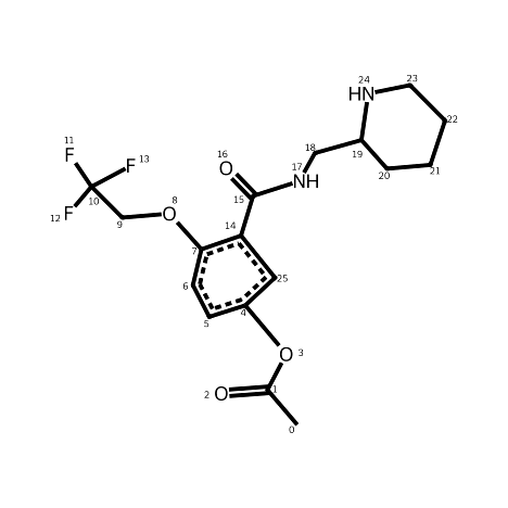 CC(=O)Oc1ccc(OCC(F)(F)F)c(C(=O)NCC2CCCCN2)c1